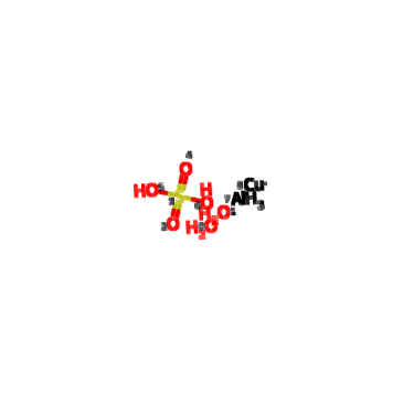 O.O.O=S(=O)(O)O.[AlH3].[Cu]